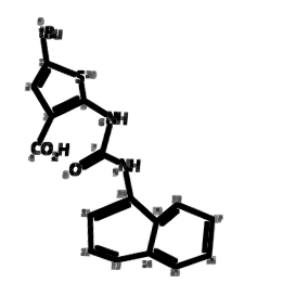 CC(C)(C)c1cc(C(=O)O)c(NC(=O)Nc2cccc3ccccc23)s1